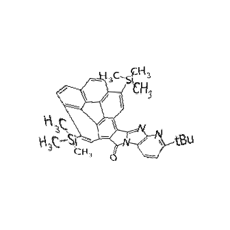 CC(C)(C)c1ccc2c(n1)nc1c3c4cc([Si](C)(C)C)c5ccc6ccc7c([Si](C)(C)C)cc(c3c(=O)n21)c1c7c6c5c41